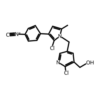 [C-]#[N+]c1ccc(-c2cc(C)n(Cc3cnc(Cl)c(CO)c3)c2Cl)cc1